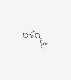 O=C(/C=C\c1ccc(OCC(O)CCl)cc1)c1ccccc1